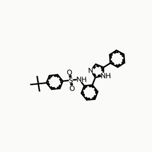 CC(C)(C)c1ccc(S(=O)(=O)Nc2ccccc2-c2ncc(-c3ccccc3)[nH]2)cc1